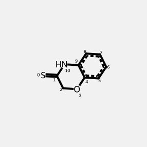 S=C1COc2c[c]ccc2N1